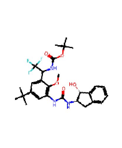 COc1c(NC(=O)N[C@@H]2Cc3ccccc3[C@H]2O)cc(C(C)(C)C)cc1C(NC(=O)OC(C)(C)C)C(F)(F)F